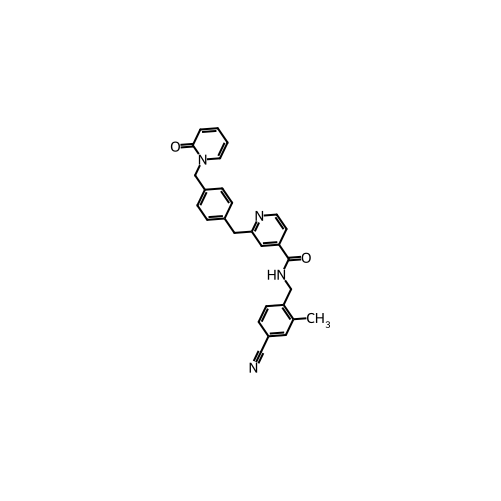 Cc1cc(C#N)ccc1CNC(=O)c1ccnc(Cc2ccc(Cn3ccccc3=O)cc2)c1